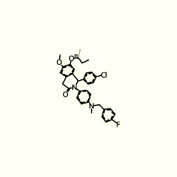 CC[C@@H](C)Oc1cc2c(cc1OC)CC(=O)N(c1ccc(N(C)Cc3ccc(F)cc3)cc1)C2c1ccc(Cl)cc1